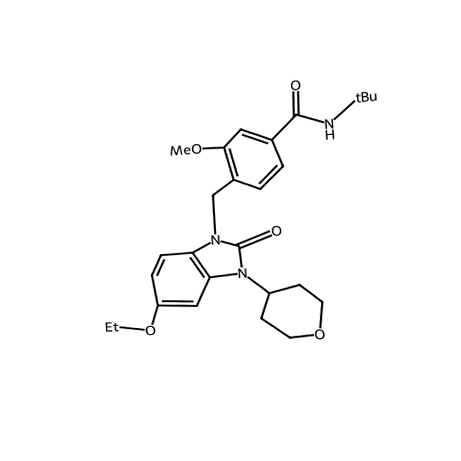 CCOc1ccc2c(c1)n(C1CCOCC1)c(=O)n2Cc1ccc(C(=O)NC(C)(C)C)cc1OC